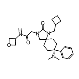 CN(C)[C@]1(c2ccccc2)CC[C@]2(CC1)CN(CC(=O)NC1COC1)C(=O)N2CC1CCC1